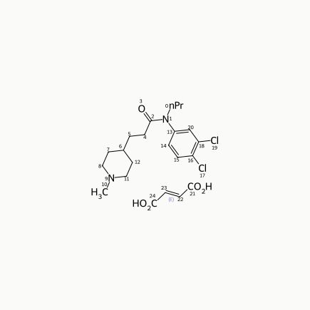 CCCN(C(=O)CCC1CCN(C)CC1)c1ccc(Cl)c(Cl)c1.O=C(O)/C=C/C(=O)O